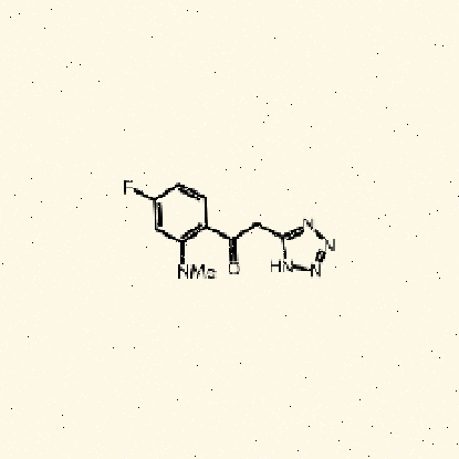 CNc1cc(F)ccc1C(=O)Cc1nnn[nH]1